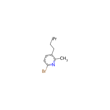 Cc1nc(Br)ccc1CCC(C)C